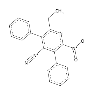 CCc1nc([N+](=O)[O-])c(-c2ccccc2)c([N+]#N)c1-c1ccccc1